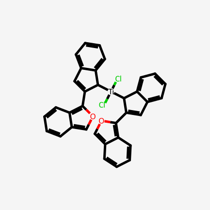 [Cl][Ti]([Cl])([CH]1C(c2occ3ccccc23)=Cc2ccccc21)[CH]1C(c2occ3ccccc23)=Cc2ccccc21